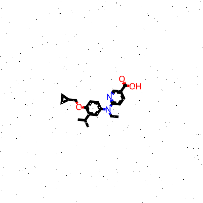 CCN(c1ccc(OCC2CC2)c(C(C)C)c1)c1ccc(C(=O)O)cn1